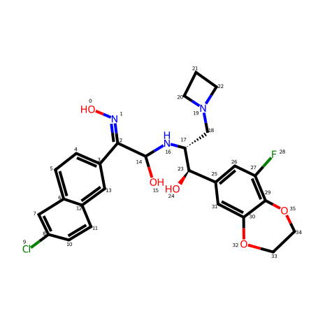 O/N=C(\c1ccc2cc(Cl)ccc2c1)C(O)N[C@H](CN1CCC1)[C@H](O)c1cc(F)c2c(c1)OCCO2